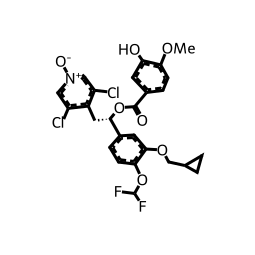 COc1ccc(C(=O)O[C@@H](Cc2c(Cl)c[n+]([O-])cc2Cl)c2ccc(OC(F)F)c(OCC3CC3)c2)cc1O